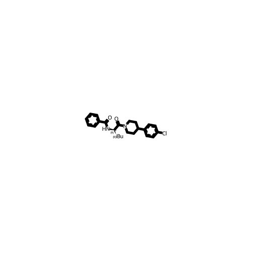 CC[C@@H](C)[C@@H](NC(=O)c1ccccc1)C(=O)N1CCC(c2ccc(Cl)cc2)CC1